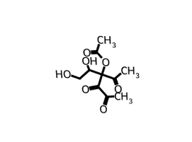 CC(=O)OC(C(C)=O)(C(=O)C(C)=O)C(O)CO